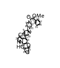 CO[C@@H](C(=O)N1CCN(c2ccc(-c3cc(O[C@H]4COC[C@@H]4O)cn4ncc(C#N)c34)cn2)CC1)c1ccccc1